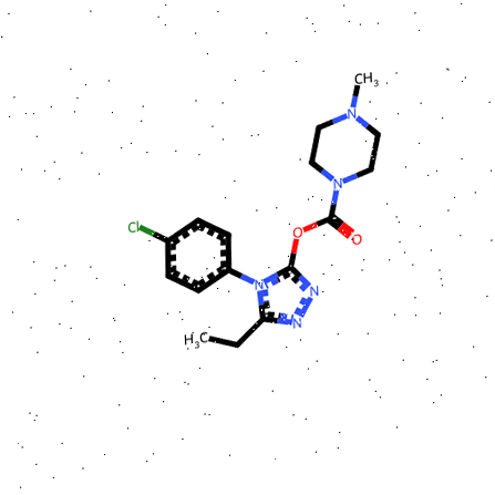 CCc1nnc(OC(=O)N2CCN(C)CC2)n1-c1ccc(Cl)cc1